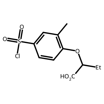 CCC(Oc1ccc(S(=O)(=O)Cl)cc1C)C(=O)O